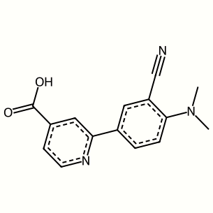 CN(C)c1ccc(-c2cc(C(=O)O)ccn2)cc1C#N